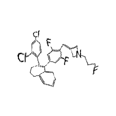 FCCCN1CC(=Cc2c(F)cc(C3=C(c4ccc(Cl)cc4Cl)CCCc4ccccc43)cc2F)C1